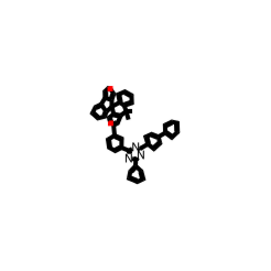 CC1(C)c2ccccc2C2(c3ccccc3-c3ccccc32)c2ccc(-c3cccc(-c4nc(-c5ccccc5)nc(-c5ccc(-c6ccccc6)cc5)n4)c3)cc21